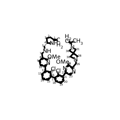 C=C1CC[C@@H](CNCc2ccc(-c3cccc(-c4cccc(-c5cnc(CN6CC7(C6)CN(C(=C)C)C7)c(OC)n5)c4Cl)c3Cl)nc2OC)N1